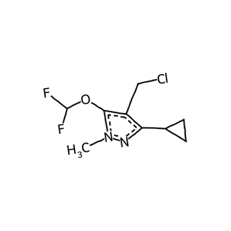 Cn1nc(C2CC2)c(CCl)c1OC(F)F